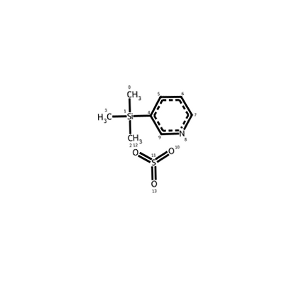 C[Si](C)(C)c1cccnc1.O=S(=O)=O